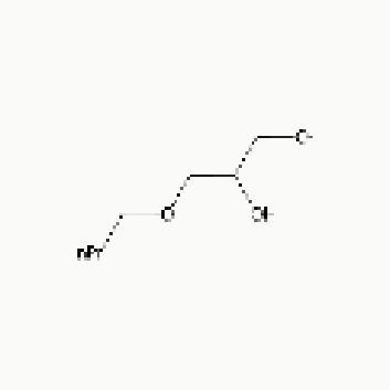 CCCCOCC(O)C[O]